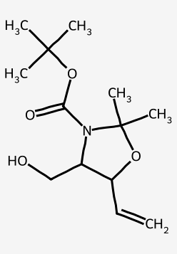 C=CC1OC(C)(C)N(C(=O)OC(C)(C)C)C1CO